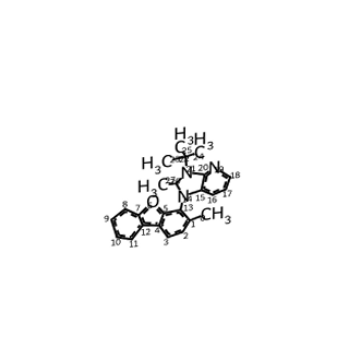 Cc1ccc2c(oc3ccccc32)c1N1c2cccnc2N(C(C)(C)C)[C@@H]1C